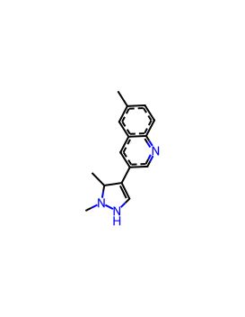 Cc1ccc2ncc(C3=CNN(C)C3C)cc2c1